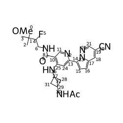 COC(C)(C)C(F)CNC(=O)c1cnc(-c2ccc3cc(C#N)cnn23)cc1NC12CC(NC(C)=O)(C1)C2